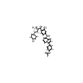 CCc1cc(Nc2nccn3c(-c4ccc(OC(F)F)cc4)cnc23)ccc1C(=O)N(C)CCN1CCNCC1